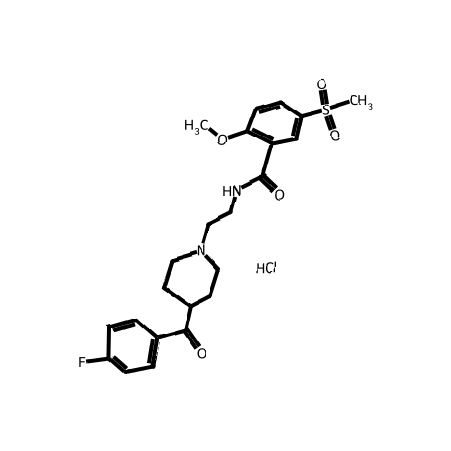 COc1ccc(S(C)(=O)=O)cc1C(=O)NCCN1CCC(C(=O)c2ccc(F)cc2)CC1.Cl